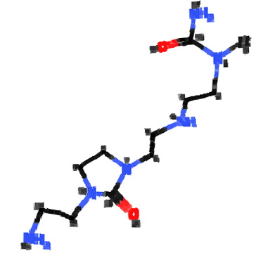 CCN(CCNCCN1CCN(CCN)C1=O)C(N)=O